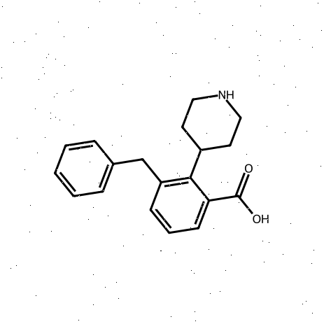 O=C(O)c1cccc(Cc2ccccc2)c1C1CCNCC1